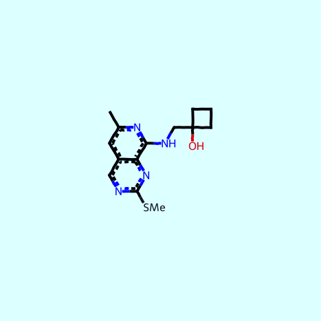 CSc1ncc2cc(C)nc(NCC3(O)CCC3)c2n1